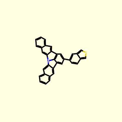 c1ccc2cc3c(cc2c1)c1cc(-c2ccc4cscc4c2)cc2c4cc5ccccc5cc4n3c12